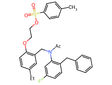 CCc1ccc(OCCOS(=O)(=O)c2ccc(C)cc2)c(CN(C(C)=O)c2cc(F)ccc2Cc2ccccc2)c1